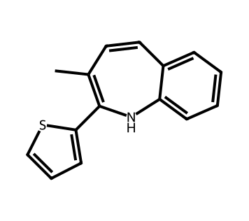 CC1=C(c2cccs2)Nc2ccccc2C=C1